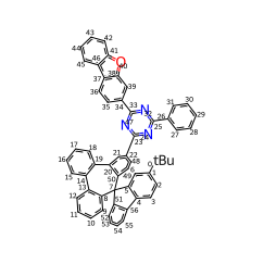 CC(C)(C)c1ccc2c(c1)C1(c3ccccc3-c3ccccc3-c3cc(-c4nc(-c5ccccc5)nc(-c5ccc6c(c5)oc5ccccc56)n4)ccc31)c1ccccc1-2